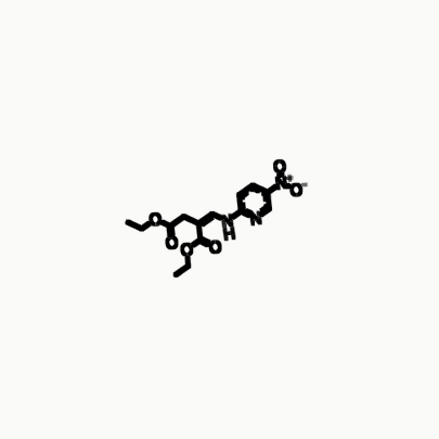 CCOC(=O)CC(=CNc1ccc([N+](=O)[O-])cn1)C(=O)OCC